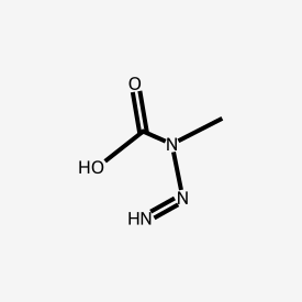 CN(N=N)C(=O)O